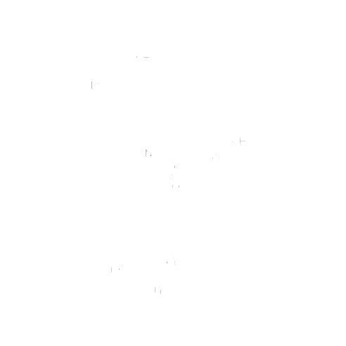 COC(=O)C(=O)N(Cc1ccc(C(C)(C)C)cc1)c1ccc(C)c(Br)c1